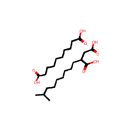 CC(C)CCCCCCCC(CC(=O)O)C(=O)O.O=C(O)CCCCCCCCC(=O)O